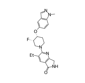 CCc1cc2c(nc1N1CC[C@@H](Oc3ccc4c(cnn4C)c3)[C@@H](F)C1)CNC2=O